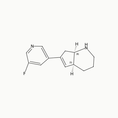 Fc1cncc(C2=C[C@@H]3CCCN[C@@H]3C2)c1